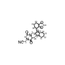 N#CCN1CC(=O)N2Cc3c(c4ccccc4n3-c3cccc4c3OCO4)CC2C1=O